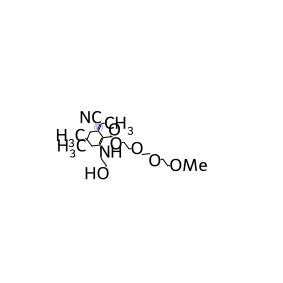 COCCOCCOCCOC(=O)C1=C(NCCO)CC(C)(C)C/C1=C(/C)C#N